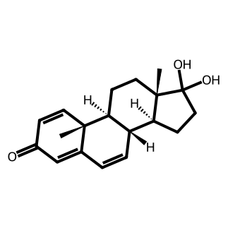 C[C@]12C=CC(=O)C=C1C=C[C@@H]1[C@@H]2CC[C@@]2(C)[C@H]1CCC2(O)O